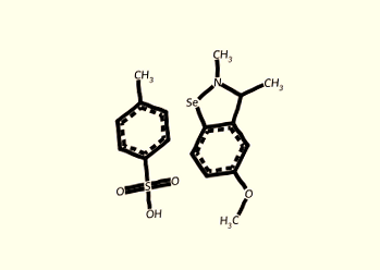 COc1ccc2c(c1)C(C)N(C)[Se]2.Cc1ccc(S(=O)(=O)O)cc1